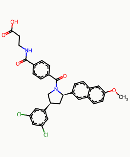 COc1ccc2cc([C@H]3C[C@@H](c4cc(Cl)cc(Cl)c4)CN3C(=O)c3ccc(C(=O)NCCC(=O)O)cc3)ccc2c1